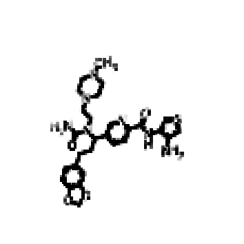 CN1CCN(CCN(C(N)=O)C(CCc2ccc3c(c2)OCO3)c2ccc(C(=O)Nc3cscc3N)nc2)CC1